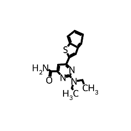 CCN(CC)c1nc(C(N)=O)cc(-c2cc3ccccc3s2)n1